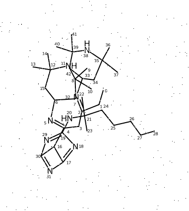 [CH2]CC(CC(=NC1CC(C)(C)NC(C)(C)C1)[C]1C2=NC(NC(C)(C)CCCCC)=NC1=N2)=NC1CC(C)(C)NC(C)(C)C1